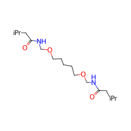 CC(C)CC(=O)NCOCCCCCOCNC(=O)CC(C)C